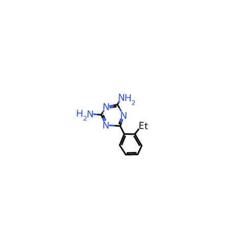 CCc1ccccc1-c1nc(N)nc(N)n1